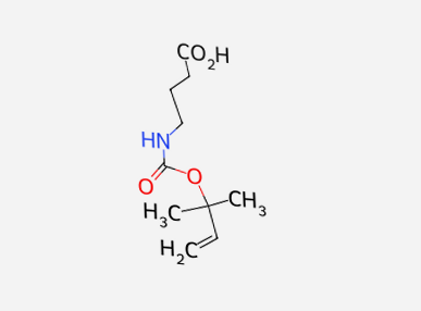 C=CC(C)(C)OC(=O)NCCCC(=O)O